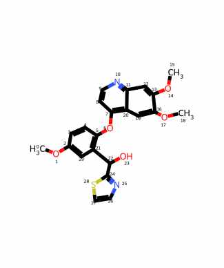 COc1ccc(Oc2ccnc3cc(OC)c(OC)cc23)c(C(O)c2nccs2)c1